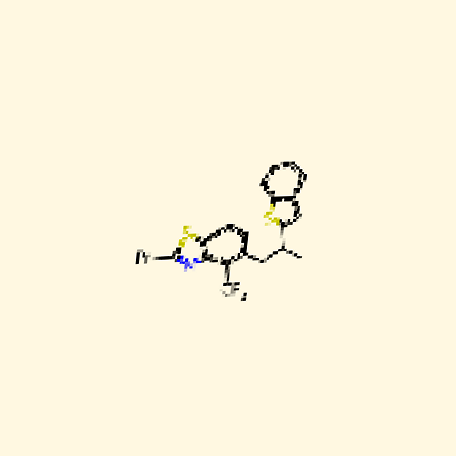 CC(C)c1nc2c(C(F)(F)F)c(CC(C)c3cc4ccccc4s3)ccc2s1